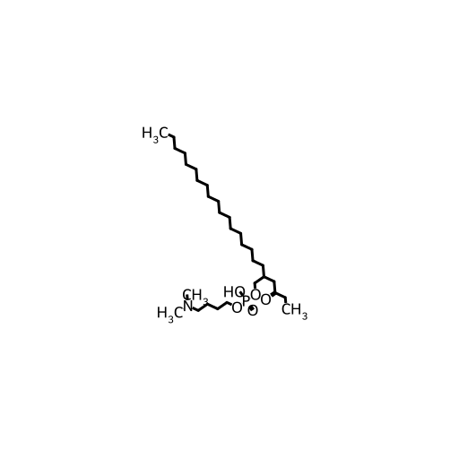 CCCCCCCCCCCCCCCCCCC(COP(=O)(O)OCCCCN(C)C)CC(=O)CC